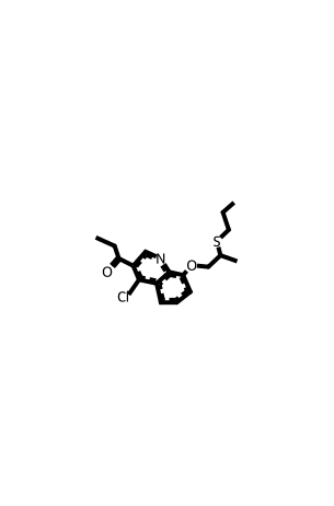 CCCSC(C)COc1cccc2c(Cl)c(C(=O)CC)cnc12